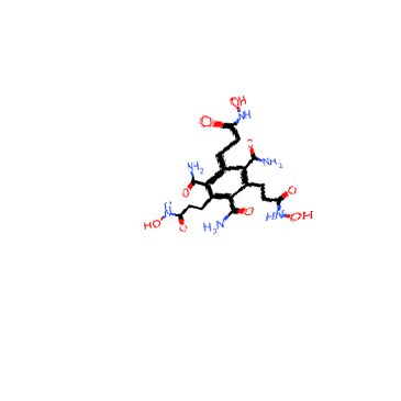 NC(=O)c1c(CCC(=O)NO)c(C(N)=O)c(CCC(=O)NO)c(C(N)=O)c1CCC(=O)NO